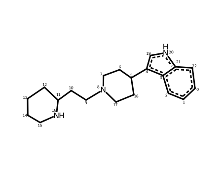 c1ccc2c(C3CCN(CCC4CCCCN4)CC3)c[nH]c2c1